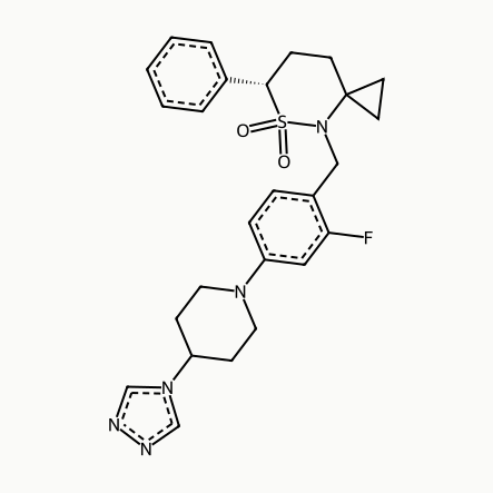 O=S1(=O)[C@H](c2ccccc2)CCC2(CC2)N1Cc1ccc(N2CCC(n3cnnc3)CC2)cc1F